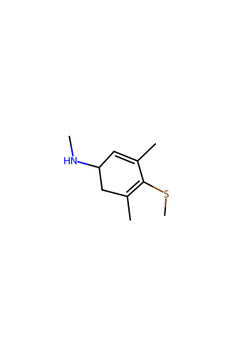 CNC1C=C(C)C(SC)=C(C)C1